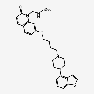 CCCCCCCCCCNCn1c(=O)ccc2ccc(OCCCCN3CCN(c4cccc5sccc45)CC3)cc21